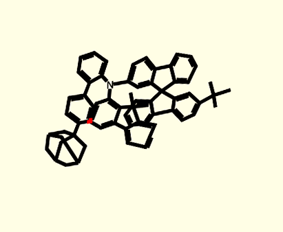 CC(C)(C)c1ccc2c(c1)C1(c3ccccc3-c3ccc(N(c4ccccc4-c4ccc(C56CC7CC(CC(C7)C5)C6)cc4)c4cccc5c4C(C)(C)c4ccccc4-5)cc31)c1ccccc1-2